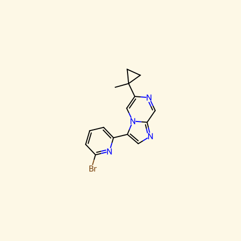 CC1(c2cn3c(-c4cccc(Br)n4)cnc3cn2)CC1